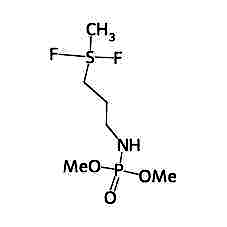 COP(=O)(NCCCS(C)(F)F)OC